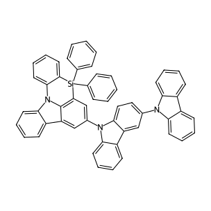 c1ccc([Si]2(c3ccccc3)c3ccccc3-n3c4ccccc4c4cc(-n5c6ccccc6c6cc(-n7c8ccccc8c8ccccc87)ccc65)cc2c43)cc1